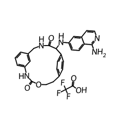 Nc1nccc2cc(NC3C(=O)NCc4cccc(c4)NC(=O)OCCc4ccc3cc4)ccc12.O=C(O)C(F)(F)F